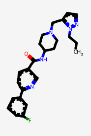 CCCn1nccc1CN1CCC(NC(=O)c2ccc(-c3cccc(F)c3)nc2)CC1